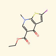 CCOC(=O)c1cn(C)c2sc(I)cc2c1=O